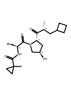 C[C@H](CC1CCC1)C(=O)[C@@H]1C[C@@H](O)CN1C(=O)[C@@H](NC(=O)C1(F)CC1)C(C)(C)C